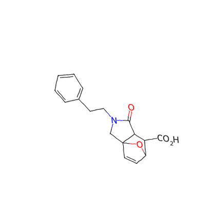 O=C(O)C1C2C=CC3(CN(CCc4ccccc4)C(=O)C13)O2